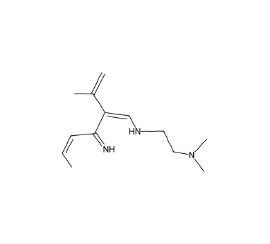 C=C(C)/C(=C/NCCN(C)C)C(=N)/C=C\C